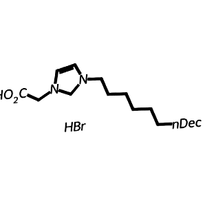 Br.CCCCCCCCCCCCCCCCN1C=CN(CC(=O)O)C1